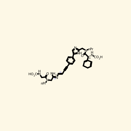 CCCN(C/C(N)=N/C=C/C#Cc1ccc(-c2cnc(CN(CCC)C(=O)[C@H](NC(=O)O)C3=CCCC=C3)[nH]2)cc1)C(=O)CNC(=O)O